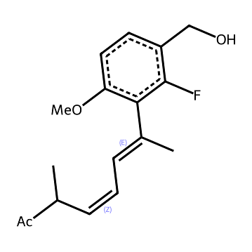 COc1ccc(CO)c(F)c1/C(C)=C/C=C\C(C)C(C)=O